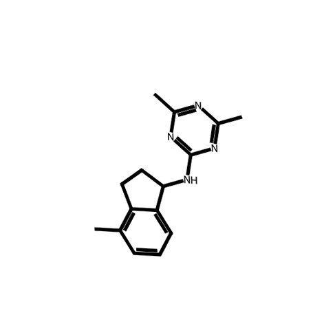 Cc1nc(C)nc(NC2CCc3c(C)cccc32)n1